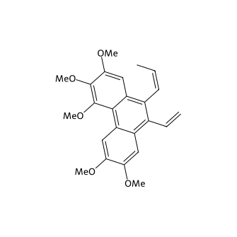 C=Cc1c(/C=C\C)c2cc(OC)c(OC)c(OC)c2c2cc(OC)c(OC)cc12